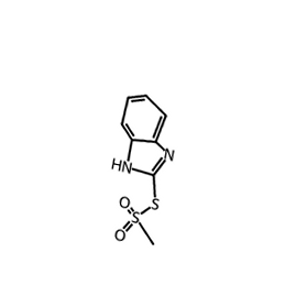 CS(=O)(=O)Sc1nc2ccccc2[nH]1